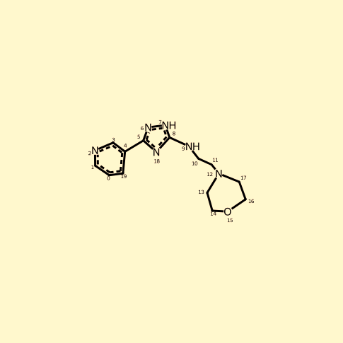 c1cncc(-c2n[nH]c(NCCN3CCOCC3)n2)c1